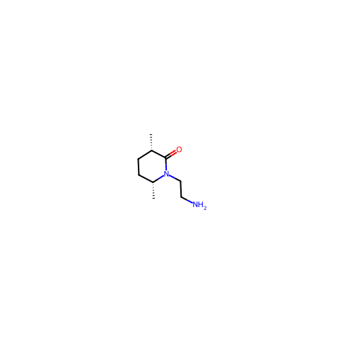 C[C@@H]1CC[C@H](C)C(=O)N1CCN